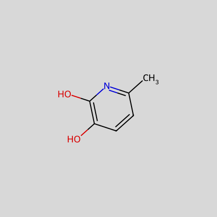 Cc1ccc(O)c(O)n1